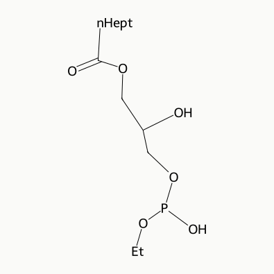 CCCCCCCC(=O)OCC(O)COP(O)OCC